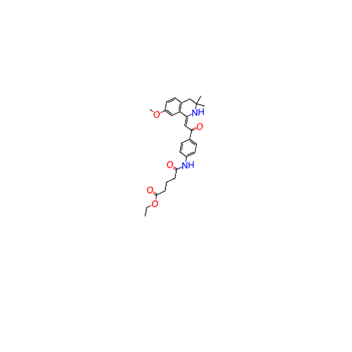 CCOC(=O)CCCC(=O)Nc1ccc(C(=O)C=C2NC(C)(C)Cc3ccc(OC)cc32)cc1